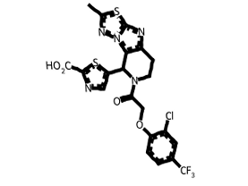 Cc1nn2c3c(nc2s1)CCN(C(=O)COc1ccc(C(F)(F)F)cc1Cl)C3c1cnc(C(=O)O)s1